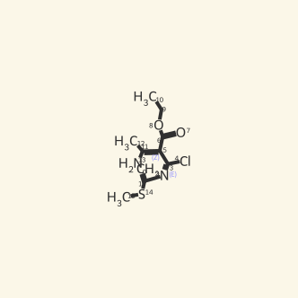 C=C(/N=C(Cl)\C(C(=O)OCC)=C(\C)N)SC